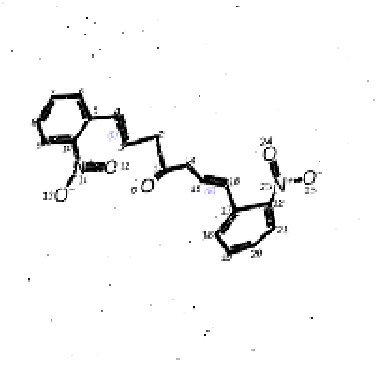 O=C(C/C=C/c1ccccc1[N+](=O)[O-])C/C=C/c1ccccc1[N+](=O)[O-]